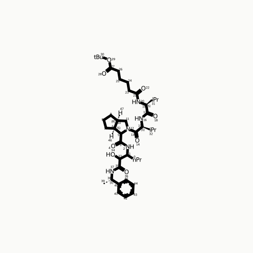 CCCC(NC(=O)C1[C@H]2CCC[C@H]2CN1C(=O)[C@@H](NC(=O)[C@@H](NC(=O)CCCCC(=O)OC(C)(C)C)C(C)C)C(C)C)C(O)C(=O)N[C@@H](C)c1ccccc1